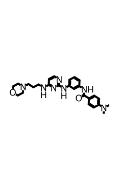 CN(C)c1ccc(C(=O)Nc2cccc(Nc3nccc(NCCCN4CCOCC4)n3)c2)cc1